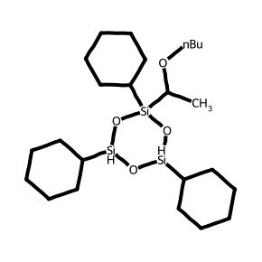 CCCCOC(C)[Si]1(C2CCCCC2)O[SiH](C2CCCCC2)O[SiH](C2CCCCC2)O1